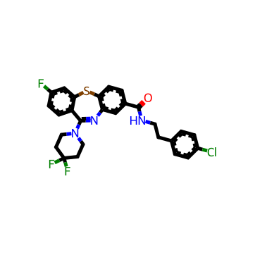 O=C(NCCc1ccc(Cl)cc1)c1ccc2c(c1)N=C(N1CCC(F)(F)CC1)c1ccc(F)cc1S2